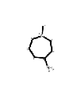 CN1CCCC(N)CC1